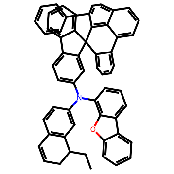 CCC1CC=Cc2ccc(N(c3ccc4c(c3)C3(c5ccccc5-4)c4ccccc4-c4cccc5ccc(-c6ccccc6)c3c45)c3cccc4c3oc3ccccc34)cc21